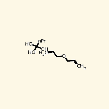 C=CCOCC=C.CCCC(O)(O)O